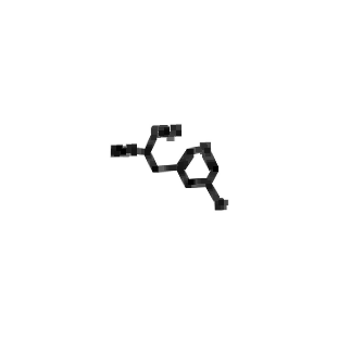 CNC(Cc1cncc(Br)c1)C(=O)O